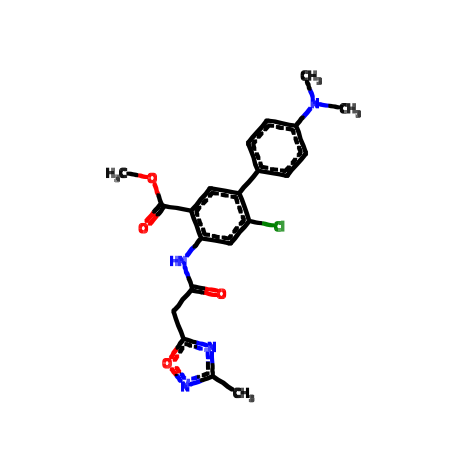 COC(=O)c1cc(-c2ccc(N(C)C)cc2)c(Cl)cc1NC(=O)Cc1nc(C)no1